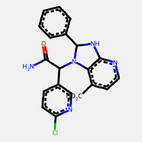 NC(=O)C(c1ccc(Cl)nc1)N1c2c(C(=O)O)ccnc2NC1c1ccccc1